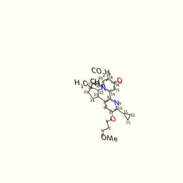 COCCCOc1cc2c(nc1C1CC1)-c1cc(=O)c(C(=O)O)cn1[C@H]1C2CCC1(C)C